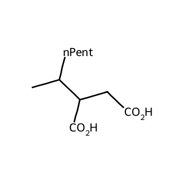 CCCCCC(C)C(CC(=O)O)C(=O)O